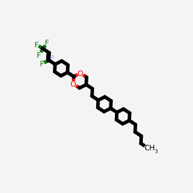 CCCCCC1CCC(C2CCC(CCC3COC(C4CCC(/C(F)=C/C(F)(F)F)CC4)OC3)CC2)CC1